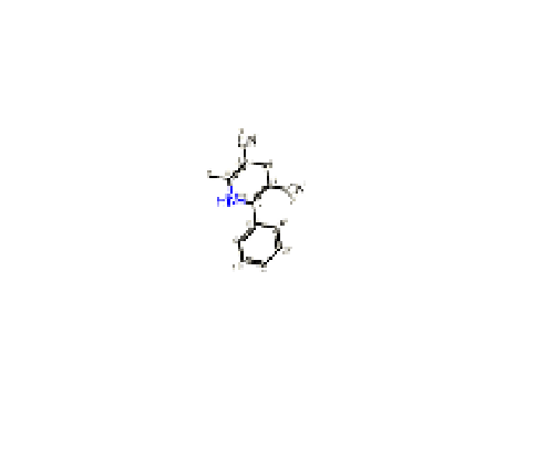 CC1=C(C#N)CC(C#N)=C(c2ccccc2)N1